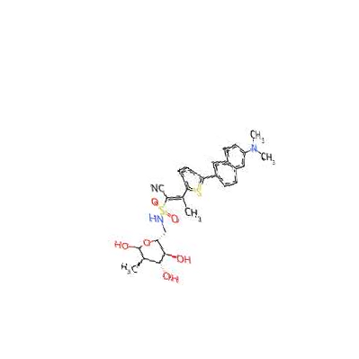 C/C(=C(/C#N)S(=O)(=O)NC[C@H]1OC(O)[C@H](C)[C@@H](O)[C@@H]1O)c1ccc(-c2ccc3cc(N(C)C)ccc3c2)s1